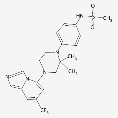 CC1(C)CN(c2cc(C(F)(F)F)cc3cncn23)CCN1c1ccc(NS(C)(=O)=O)cc1